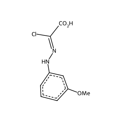 COc1cccc(NN=C(Cl)C(=O)O)c1